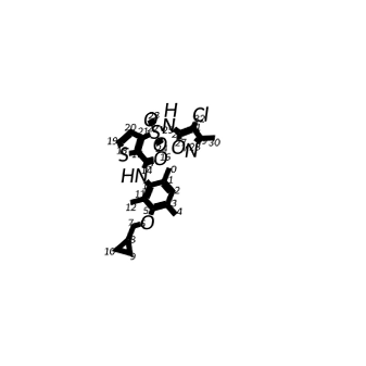 Cc1cc(C)c(OCC2CC2)c(C)c1NC(=O)c1sccc1S(=O)(=O)Nc1onc(C)c1Cl